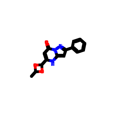 CC1OC(c2cc(=O)n3nc(-c4ccccc4)cc3[nH]2)O1